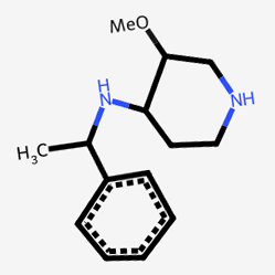 COC1CNCCC1NC(C)c1ccccc1